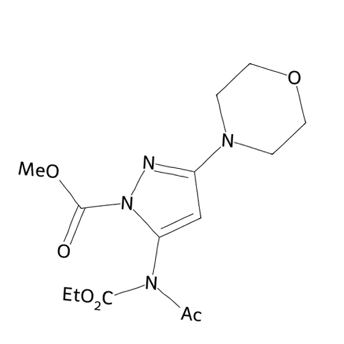 CCOC(=O)N(C(C)=O)c1cc(N2CCOCC2)nn1C(=O)OC